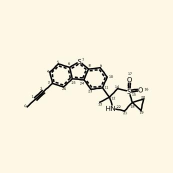 CC#Cc1ccc2sc3ccc(C4(C)CS(=O)(=O)C5(CC5)CN4)cc3c2c1